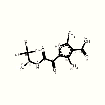 Cc1[nH]c(C(=O)C(=O)N[C@@H](C)C(F)(F)F)c(C)c1C(=O)O